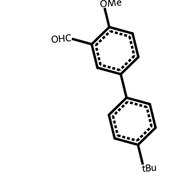 COc1ccc(-c2ccc(C(C)(C)C)cc2)cc1C=O